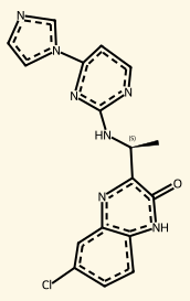 C[C@H](Nc1nccc(-n2ccnc2)n1)c1nc2cc(Cl)ccc2[nH]c1=O